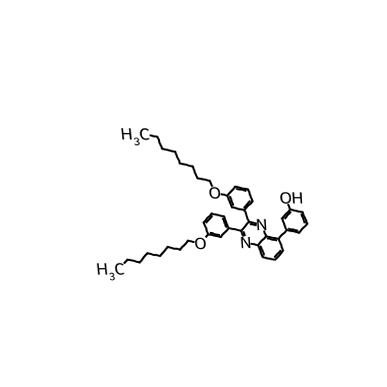 CCCCCCCCOc1cccc(-c2nc3cccc(-c4cccc(O)c4)c3nc2-c2cccc(OCCCCCCCC)c2)c1